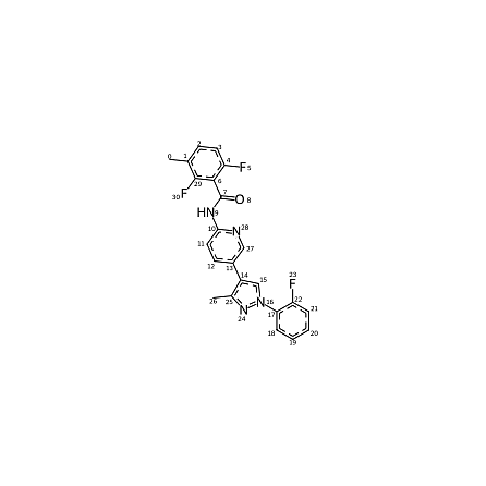 Cc1ccc(F)c(C(=O)Nc2ccc(-c3cn(-c4ccccc4F)nc3C)cn2)c1F